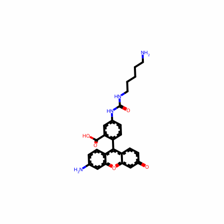 NCCCCCNC(=O)Nc1ccc(-c2c3ccc(=O)cc-3oc3cc(N)ccc23)c(C(=O)O)c1